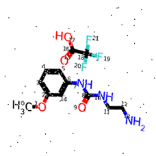 COc1cccc(NC(=O)NCCN)c1.O=C(O)C(F)(F)F